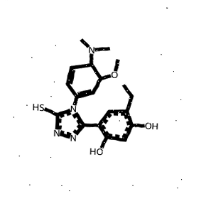 CCc1cc(-c2nnc(S)n2C2=CC(OC)C(N(C)C)C=C2)c(O)cc1O